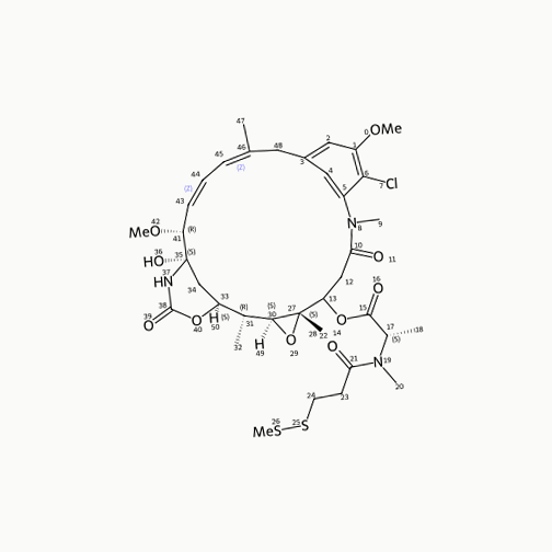 COc1cc2cc(c1Cl)N(C)C(=O)CC(OC(=O)[C@H](C)N(C)C(=O)CCSSC)[C@]1(C)O[C@H]1[C@H](C)[C@@H]1C[C@@](O)(NC(=O)O1)[C@H](OC)/C=C\C=C(\C)C2